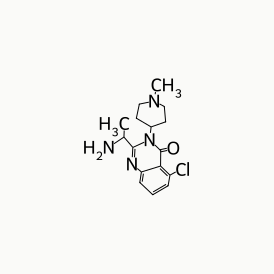 CC(N)c1nc2cccc(Cl)c2c(=O)n1C1CCN(C)CC1